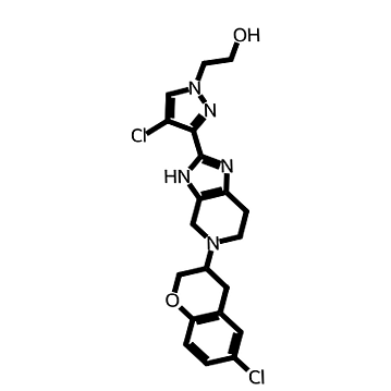 OCCn1cc(Cl)c(-c2nc3c([nH]2)CN(C2COc4ccc(Cl)cc4C2)CC3)n1